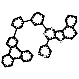 c1ccc(-c2nc(-c3cccc(-c4cccc(-c5ccc6c7ccccc7c7ccccc7c6c5)c4)c3)nc3c2oc2ccc4ccccc4c23)cc1